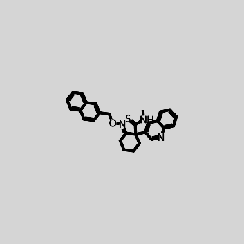 CNC(=S)C1(c2cnc3ccccc3c2)CCCCC1=NOCc1ccc2ccccc2c1